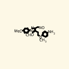 COc1ccc(-n2nc(CN=O)c(CCN(C)c3ccc(N)cc3)c2C=O)cc1